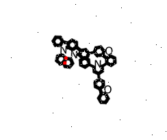 c1ccc(-c2cc(-c3ccc4c(c3)oc3ccccc34)cc(-c3cccc4oc5ccc(-c6ccc7c(c6)c6ccc8c9ccccc9n(-c9ccccc9)c8c6n7-c6ccccc6)cc5c34)n2)cc1